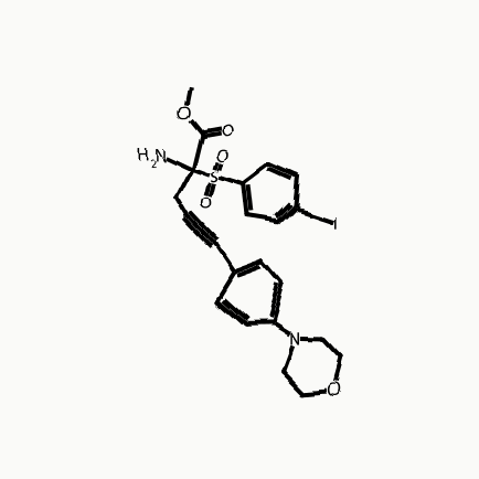 COC(=O)C(N)(CC#Cc1ccc(N2CCOCC2)cc1)S(=O)(=O)c1ccc(I)cc1